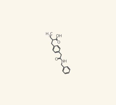 CCC(Cc1ccc(CC(=O)NCc2ccccc2)cc1)C(=O)O